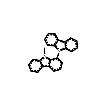 In1c2ccccc2c2cccc(-n3c4ccccc4c4ccccc43)c21